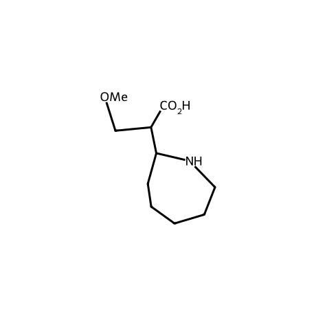 COCC(C(=O)O)C1CCCCCN1